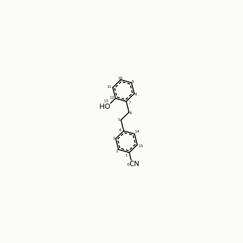 N#Cc1ccc(CCc2ccccc2O)cc1